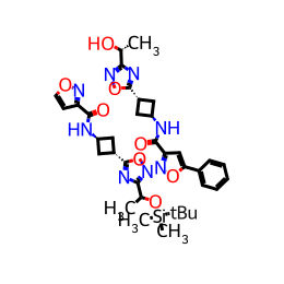 CC(O[Si](C)(C)C(C)(C)C)c1noc([C@H]2C[C@H](NC(=O)c3ccon3)C2)n1.C[C@@H](O)c1noc([C@H]2C[C@H](NC(=O)c3cc(-c4ccccc4)on3)C2)n1